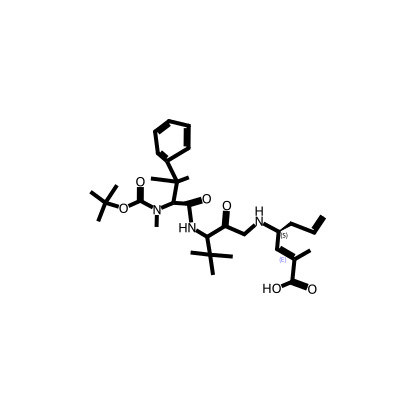 C=CC[C@@H](/C=C(\C)C(=O)O)NCC(=O)C(NC(=O)C(N(C)C(=O)OC(C)(C)C)C(C)(C)c1ccccc1)C(C)(C)C